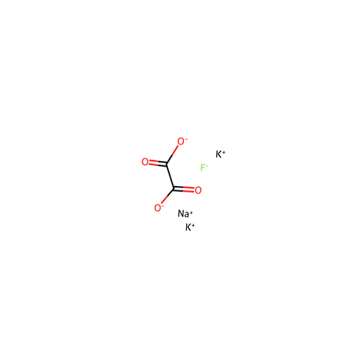 O=C([O-])C(=O)[O-].[F-].[K+].[K+].[Na+]